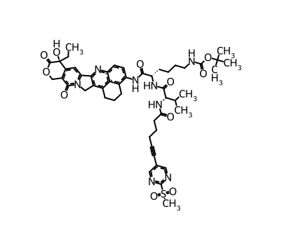 CC[C@@]1(O)C(=O)OCc2c1cc1n(c2=O)Cc2c-1nc1ccc(NC(=O)[C@H](CCCCNC(=O)OC(C)(C)C)NC(=O)[C@@H](NC(=O)CCCC#Cc3cnc(S(C)(=O)=O)nc3)C(C)C)c3c1c2CCC3